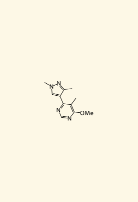 COc1ncnc(-c2cn(C)nc2C)c1C